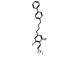 Fc1cc(CCCCc2ccc(-c3ccccc3)cc2)cc(F)c1/C=C/C(F)(F)F